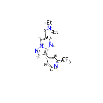 CCN(CC)Cc1cnc2c(-c3ccnc(C(F)(F)F)c3)cnn2c1